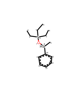 CC[Si](CC)(CC)O[SiH](C)c1ccccc1